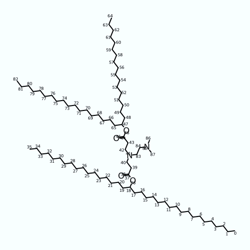 CCCCCCCCCCCCCCCCCCC(CCCCCCCCCCCCCCCCC)OC(=O)CCN(CCC(=O)OC(CCCCCCCCCCCCCCCCC)CCCCCCCCCCCCCCCCCC)CCN(C)C